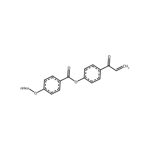 C=CC(=O)c1ccc(OC(=O)c2ccc(OCCCCCC)cc2)cc1